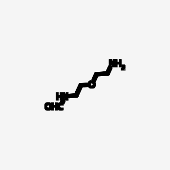 NCCOCCNC=O